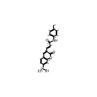 CCN(CC)c1ccc2cc(/C=C/C(=O)Nc3ccc(C)cc3)c(=O)oc2c1